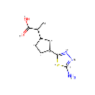 CC(C(=O)O)C1CCC(c2nnc(N)s2)C1